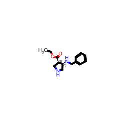 CCOC(=O)[C@@H]1CNC[C@H]1NCc1ccccc1